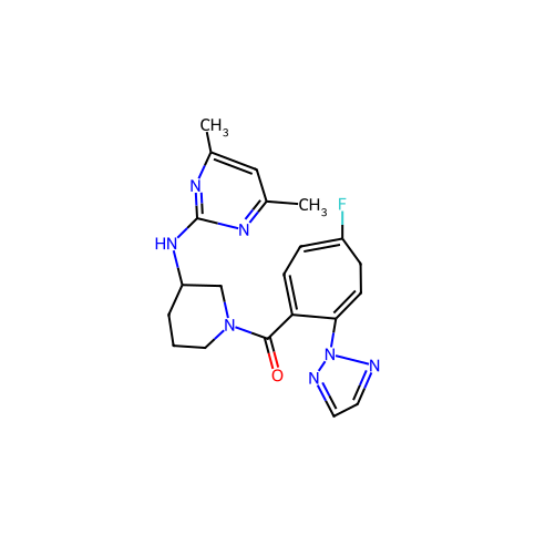 Cc1cc(C)nc(NC2CCCN(C(=O)C3=CC=C(F)CC=C3n3nccn3)C2)n1